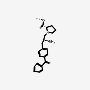 CC(C)(C)OC(=O)[C@@H]1CCCN1C[C@@H](N)Cc1ccc(C(=O)c2ccccc2)cc1